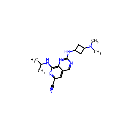 CC(C)Nc1nc(C#N)cc2cnc(NC3CC(N(C)C)C3)nc12